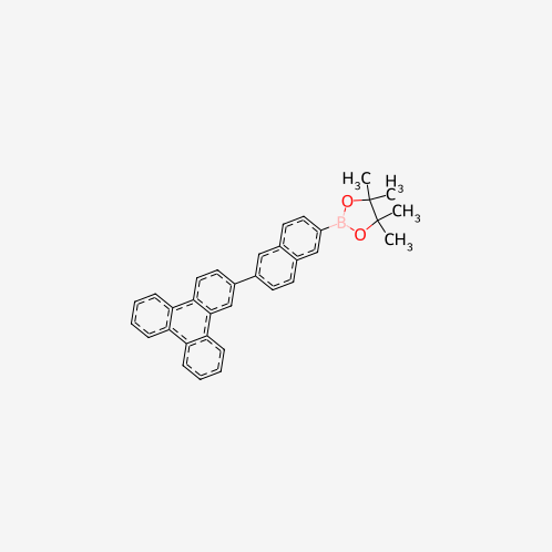 CC1(C)OB(c2ccc3cc(-c4ccc5c6ccccc6c6ccccc6c5c4)ccc3c2)OC1(C)C